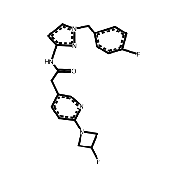 O=C(Cc1ccc(N2CC(F)C2)nc1)Nc1ccn(Cc2ccc(F)cc2)n1